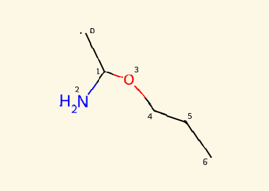 [CH2]C(N)OCCC